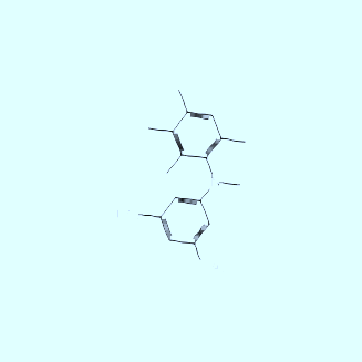 Cc1cc(C)c(N(I)c2cc(C(C)(C)C)cc(C(C)(C)C)c2)c(C)c1C